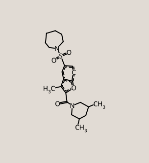 Cc1c(C(=O)N2CC(C)CC(C)C2)oc2ccc(S(=O)(=O)N3CCCCCC3)cc12